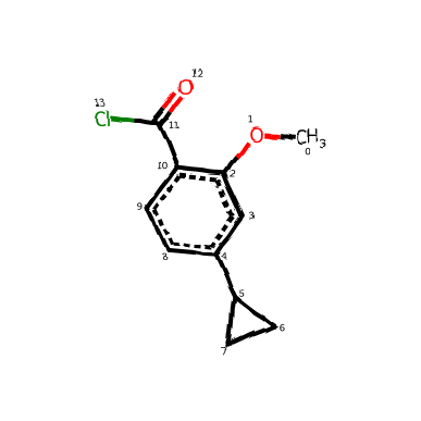 COc1cc(C2CC2)ccc1C(=O)Cl